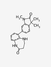 CN1C(=O)C(C)(C)c2ccc(-c3cccc4c3NCCC(=O)N4)cc21